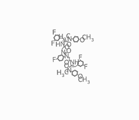 COc1ccc(N(C)C(=O)[C@H](Cc2cc(F)cc(F)c2)NC(=O)Cn2c(=O)n(CC(=O)N[C@@H](Cc3cc(F)cc(F)c3)C(=O)N(C)c3ccc(OC)cc3)c3cc(F)ccc32)cc1